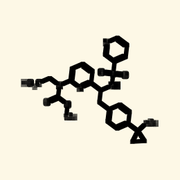 CCCCC1(c2ccc(CC(NS(=O)(=O)c3cccnc3)c3cccc(N(CC(=O)O)C(=O)OC(C)(C)C)n3)cc2)CC1